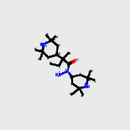 CCC(C)(C(=O)N(N)C1CC(C)(C)NC(C)(C)C1)C1CC(C)(C)NC(C)(C)C1